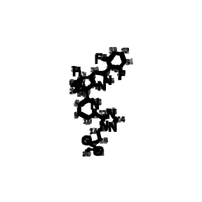 CC1(C)[C@H]2CC[C@@]1(c1cccc(-c3ncnn3CCS(C)(=O)=O)n1)c1nnc(-c3c(F)cccc3F)cc12